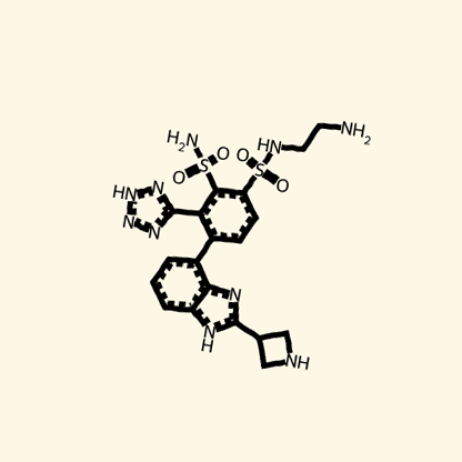 NCCNS(=O)(=O)c1ccc(-c2cccc3[nH]c(C4CNC4)nc23)c(-c2nn[nH]n2)c1S(N)(=O)=O